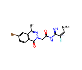 CN/C=C(/F)C(=N)NC(=O)Cn1nc(C(C)C)c2cc(Br)ccc2c1=O